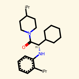 CC(C)c1ccccc1N[C@H](C(=O)N1CCC(C(C)C)CC1)C1CCCCC1